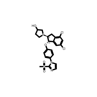 CS(=O)(=O)c1nccn1-c1ccc(O[C@H]2c3cc(Cl)cc(Cl)c3C[C@@H]2N2CCC(O)C2)cc1